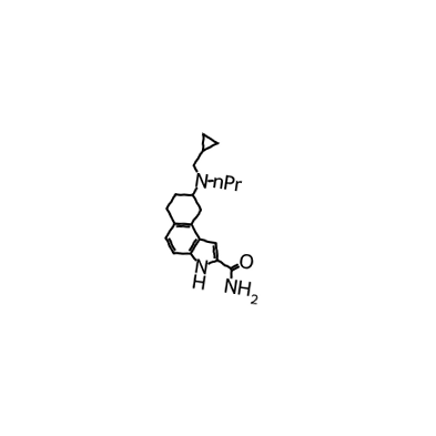 CCCN(CC1CC1)C1CCc2ccc3[nH]c(C(N)=O)cc3c2C1